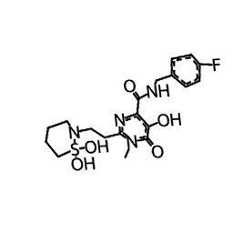 Cn1c(CCN2CCCCS2(O)O)nc(C(=O)NCc2ccc(F)cc2)c(O)c1=O